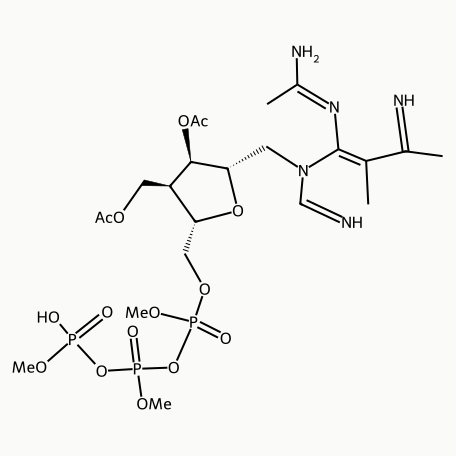 COP(=O)(O)OP(=O)(OC)OP(=O)(OC)OC[C@H]1O[C@@H](CN(C=N)C(/N=C(\C)N)=C(\C)C(C)=N)[C@H](OC(C)=O)[C@@H]1COC(C)=O